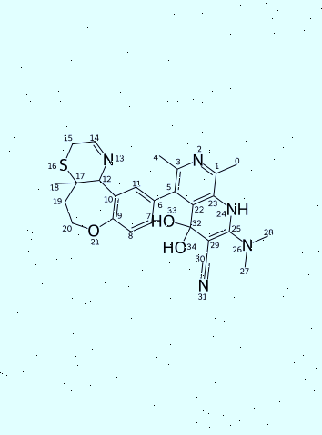 Cc1nc(C)c(-c2ccc3c(c2)C2N=CCSC2(C)CCO3)c2c1NC(N(C)C)=C(C#N)C2(O)O